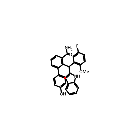 COc1ccc(F)cc1C(c1cc2ccccc2[nH]1)c1c(C(N)=O)cccc1-c1ccc(O)cc1